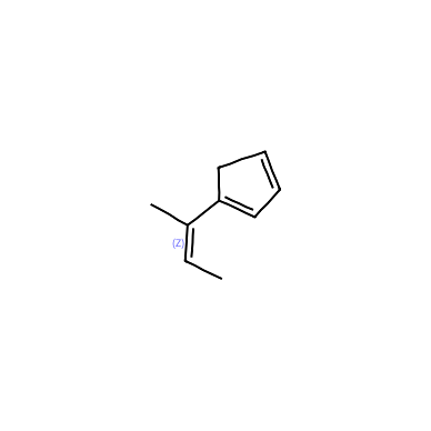 C/C=C(/C)C1=CC=CC1